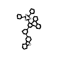 c1ccc(-c2nc(-c3ccccc3)nc(-c3cc(-c4cccc(-c5ccc6oc7ccccc7c6c5)c4)cc4c5ccccc5c5ccccc5c34)n2)cc1